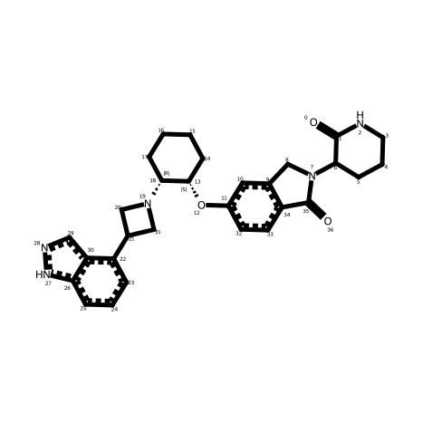 O=C1NCCCC1N1Cc2cc(O[C@H]3CCCC[C@H]3N3CC(c4cccc5[nH]ncc45)C3)ccc2C1=O